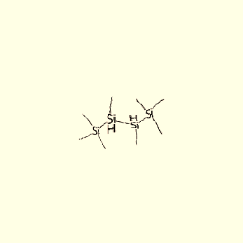 C[SiH]([SiH](C)[Si](C)(C)C)[Si](C)(C)C